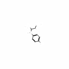 CCc1ccc(NC(C)CC(=O)O)cc1